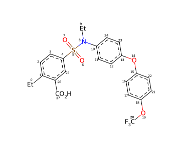 CCc1ccc(S(=O)(=O)N(CC)c2ccc(Oc3ccc(OC(F)(F)F)cc3)cc2)cc1C(=O)O